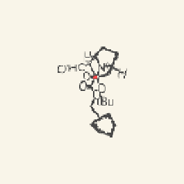 CC(C)(C)OC(=O)N1[C@@H]2CC[C@H]1[C@H](C=O)N(C(=O)OCc1ccccc1)C2